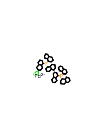 [Cl-].[Cl-].[Pd+2].c1ccc2c(P(c3cccc4ccccc34)c3cccc4ccccc34)cccc2c1.c1ccc2c(P(c3cccc4ccccc34)c3cccc4ccccc34)cccc2c1